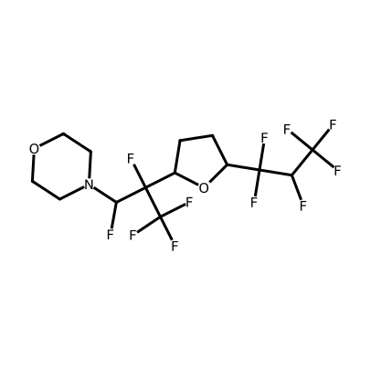 FC(C(F)(F)F)C(F)(F)C1CCC(C(F)(C(F)N2CCOCC2)C(F)(F)F)O1